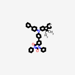 CC1(C)c2ccccc2-c2ccc(N(c3ccc(-c4ccccc4)cc3)c3ccc(-c4ccc5c(c4)c(=O)n(-c4ccccc4)c(=O)n5-c4ccccc4)cc3)cc21